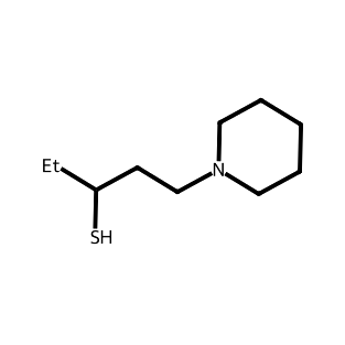 CCC(S)CCN1CCCCC1